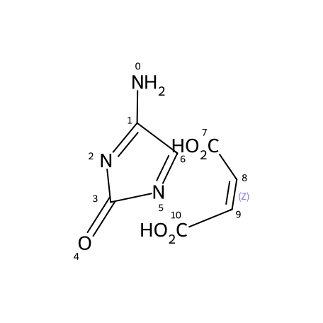 NC1=NC(=O)N=C1.O=C(O)/C=C\C(=O)O